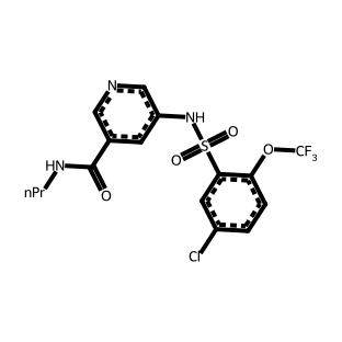 CCCNC(=O)c1cncc(NS(=O)(=O)c2cc(Cl)ccc2OC(F)(F)F)c1